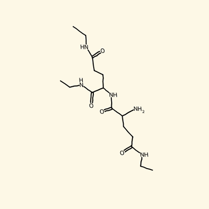 CCNC(=O)CCC(N)C(=O)NC(CCC(=O)NCC)C(=O)NCC